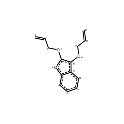 C=CCOc1oc2ccccc2c1OCC=C